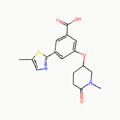 Cc1cnc(-c2cc(OC3CCC(=O)N(C)C3)cc(C(=O)O)c2)s1